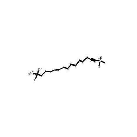 CCCC(F)(F)CCCCCCCCCCCCC#C[Si](C)(C)C